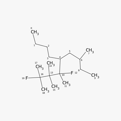 CCCCC(CC(C)CC)C(C)(F)C(C)(C)C(C)(C)F